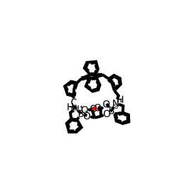 O=C1O[B-]23OC1C1O[B-]4(OC1=O)c1ccccc1C[N@@H+]4Cc1cccc(c1)-c1c4ccccc4c(c4ccccc14)-c1cccc(c1)C[N@@H+]2Cc1ccccc13